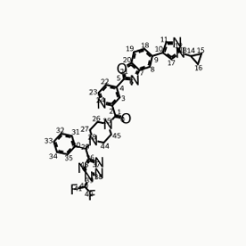 O=C(c1cc(-c2nc3cc(-c4cnn(C5CC5)c4)ccc3o2)ccn1)N1CCN([C@H](c2ccccc2)c2nnn(C(F)F)n2)CC1